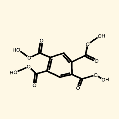 O=C(OO)c1cc(C(=O)OO)c(C(=O)OO)cc1C(=O)OO